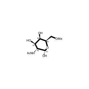 COC[C@H]1O[C@H](O)[C@H](NC(C)=O)[C@@H](O)[C@H]1O